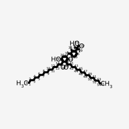 CCCCCCCCCCCCCCCC(=O)c1c(O)ccc(Oc2ccc(C(I)(I)C(=O)O)c(I)c2I)c1C(=O)CCCCCCCCCCCCCCC